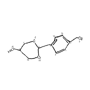 N#Cc1ccc(C2OCC(O)CO2)cc1